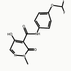 Cn1ncc(O)c(C(=O)Nc2ccc(OC(F)F)cc2)c1=O